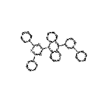 c1ccc(-c2cccc(-c3c4ccccc4c(-c4nc(-c5ccccc5)nc(-c5ccccc5)n4)c4ccccc34)c2)cc1